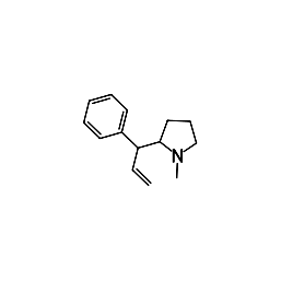 C=CC(c1ccccc1)C1CCCN1C